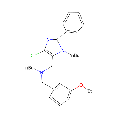 CCCCN(Cc1cccc(OCC)c1)Cc1c(Cl)nc(-c2ccccc2)n1CCCC